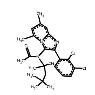 CC(=O)N(c1c(-c2cccc(Cl)c2Cl)nc2cc(C)cc(C)n12)C(C)(C)CC(C)(C)C